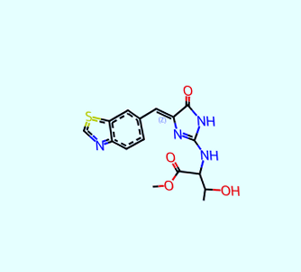 COC(=O)C(NC1=N/C(=C\c2ccc3ncsc3c2)C(=O)N1)C(C)O